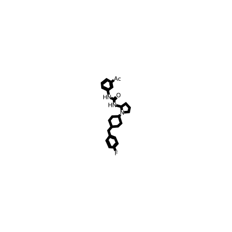 CC(=O)c1cccc(NC(=O)NC2CCCN2C2CCC(Cc3ccc(F)cc3)CC2)c1